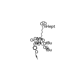 CC#CCOc1ccc(C[C@H](NC(=O)[C@@H](/C=C/CCCCCCC2(CCCCCCC)OCCO2)C(O)(CCO[Si](C)(C)C(C)(C)C)C(=O)OC(C)(C)C)C(=O)OC)cc1